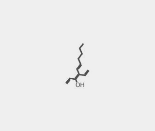 C=CC(O)=C(C=C)C=CCCCC